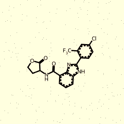 O=C(NC1CCOC1=O)c1cccc2[nH]c(-c3ccc(Cl)cc3C(F)(F)F)nc12